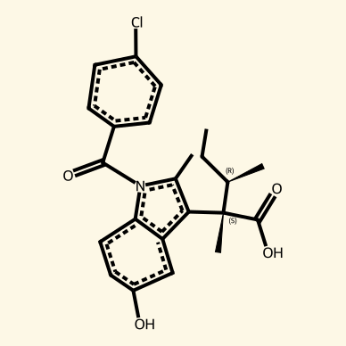 CC[C@@H](C)[C@](C)(C(=O)O)c1c(C)n(C(=O)c2ccc(Cl)cc2)c2ccc(O)cc12